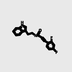 O=C(C#Cc1ccc(F)cc1F)NCCc1c[nH]c2ccccc12